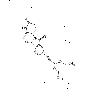 CCOC(C#Cc1ccc2c(c1)C(=O)N(C1CCC(=O)NC1=O)C2=O)OCC